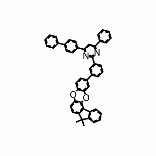 CC1(C)c2ccccc2-c2c1ccc1c2Oc2cc(-c3cccc(-c4nc(-c5ccccc5)cc(-c5ccc(-c6ccccc6)cc5)n4)c3)ccc2O1